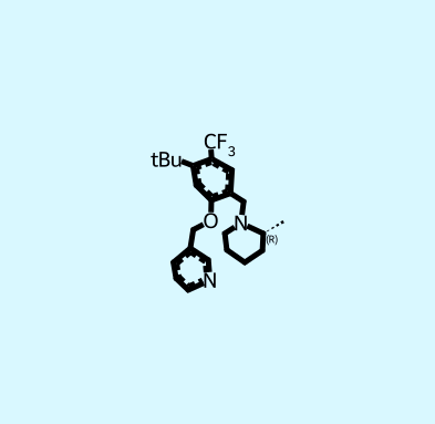 C[C@@H]1CCCCN1Cc1cc(C(F)(F)F)c(C(C)(C)C)cc1OCc1cccnc1